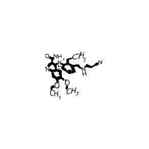 CCOc1cc2ncc(C(N)=O)c(Nc3cccc(CNCCC#N)c3CC)c2cc1OCC